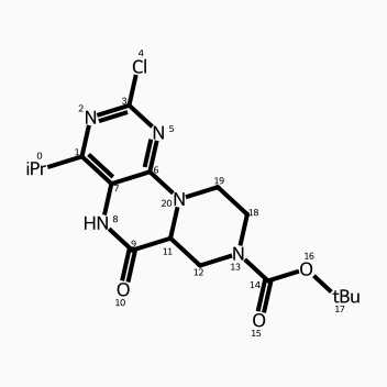 CC(C)c1nc(Cl)nc2c1NC(=O)C1CN(C(=O)OC(C)(C)C)CCN21